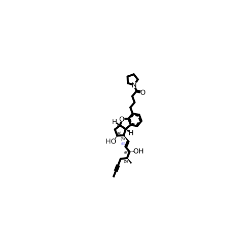 CC#CC[C@H](C)[C@@H](O)/C=C/[C@@H]1[C@H]2c3cccc(CCCC(=O)N4CCCC4)c3O[C@H]2C[C@H]1O